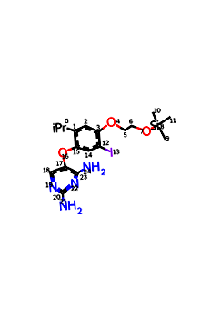 CC(C)c1cc(OCCO[Si](C)(C)C)c(I)cc1Oc1cnc(N)nc1N